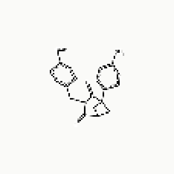 COc1ccc(CN2C(=O)C3CC(c4ccc([N+](=O)[O-])cc4)(C3)C2=O)cc1